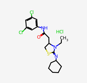 CCN1/C(=N/C2CCCCC2)SCC1CC(=O)Nc1cc(Cl)cc(Cl)c1.Cl